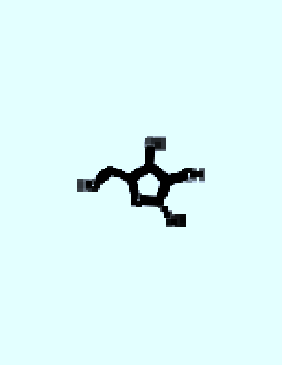 OC[C@@H]1O[C@@H](O)C(O)C1O